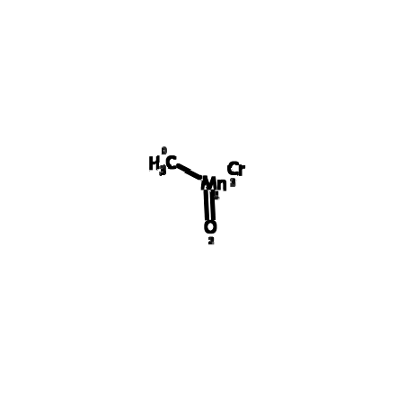 [CH3][Mn]=[O].[Cr]